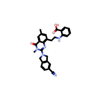 Cc1cc(CCNc2ccccc2C(=O)O)c2nc(N3Cc4ccc(C#N)cc4C3)n(C)c(=O)c2c1